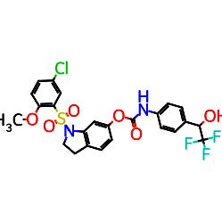 COc1ccc(Cl)cc1S(=O)(=O)N1CCc2ccc(OC(=O)Nc3ccc(C(O)C(F)(F)F)cc3)cc21